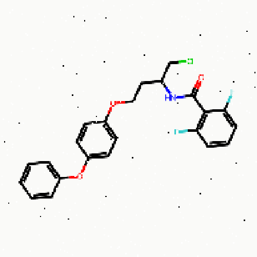 O=C(NC(CCl)CCOc1ccc(Oc2ccccc2)cc1)c1c(F)cccc1F